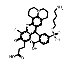 NCCCCOP(=O)(O)c1ccc(C(=O)O)c(-c2c3cc(CCC(=O)O)c(=O)c(Cl)c-3oc3c4c5c(cc23)CCCN5CCC4)c1